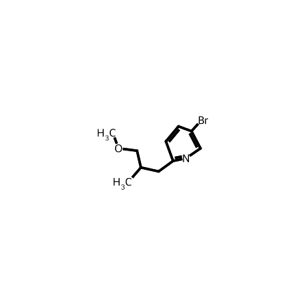 COCC(C)Cc1ccc(Br)cn1